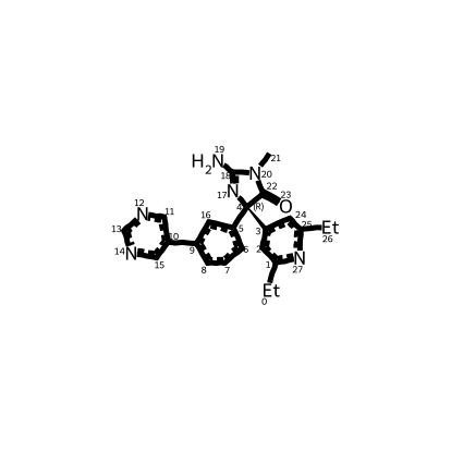 CCc1cc([C@@]2(c3cccc(-c4cncnc4)c3)N=C(N)N(C)C2=O)cc(CC)n1